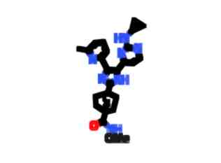 CONC(=O)C12CCC(c3nc(-c4cccc(C)n4)c(-c4ccnc(NC5CC5)n4)[nH]3)(CC1)CC2